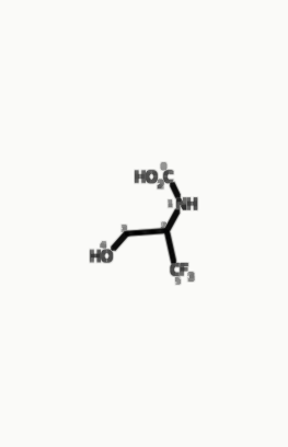 O=C(O)NC(CO)C(F)(F)F